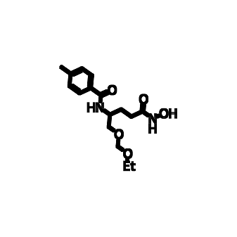 CCOCOCC(CCC(=O)NO)NC(=O)c1ccc(C)cc1